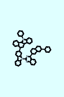 c1ccc(-c2ccc3ccc(-c4nc(-n5c6ccccc6c6ccc(-c7cc8c9ccccc9n(-c9ccccc9)c8c8ccccc78)cc65)nc5ccccc45)cc3c2)cc1